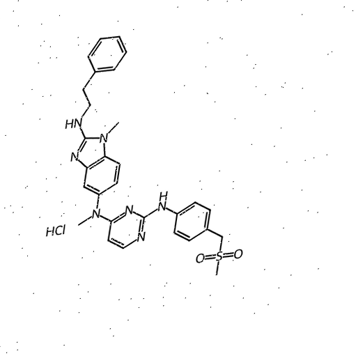 CN(c1ccc2c(c1)nc(NCCc1ccccc1)n2C)c1ccnc(Nc2ccc(CS(C)(=O)=O)cc2)n1.Cl